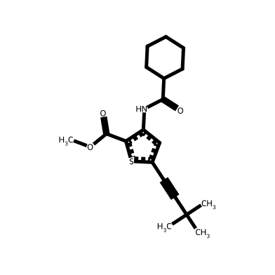 COC(=O)c1sc(C#CC(C)(C)C)cc1NC(=O)C1CCCCC1